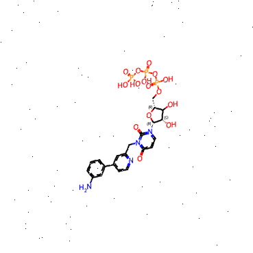 Nc1cccc(-c2ccnc(Cn3c(=O)ccn([C@@H]4O[C@H](COP(=O)(O)OP(=O)(O)OP(=O)(O)O)C(O)[C@@H]4O)c3=O)c2)c1